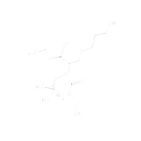 CCCCCCC(C(=O)OCC)=C(CC(C)(C)C)C(=O)OCC